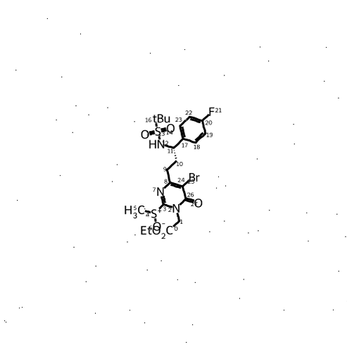 CCOC(=O)Cn1c([S+](C)[O-])nc(CC[C@H](NS(=O)(=O)C(C)(C)C)c2ccc(F)cc2)c(Br)c1=O